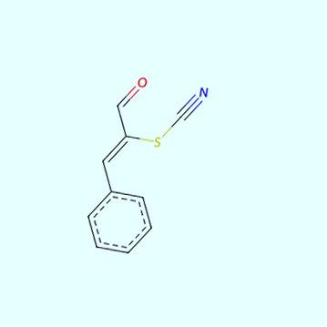 N#CSC(C=O)=Cc1ccccc1